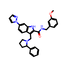 COc1cccc(CNC(=O)c2[nH]c3cc(-n4cccn4)ccc3c2CN2CCCC2c2ccccc2)c1